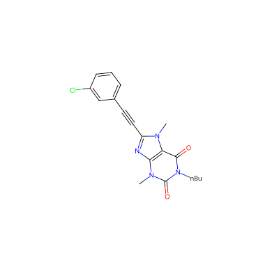 CCCCn1c(=O)c2c(nc(C#Cc3cccc(Cl)c3)n2C)n(C)c1=O